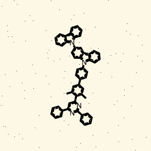 Cc1cc(-c2ccc(-n3c4ccccc4c4cc(-n5c6ccccc6c6ccccc65)ccc43)cc2)cc(C)c1-c1cc(-c2ccccc2)nc(-c2ccccc2)n1